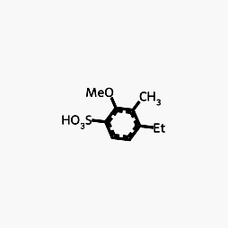 CCc1ccc(S(=O)(=O)O)c(OC)c1C